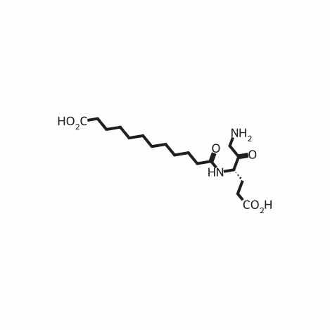 NCC(=O)[C@H](CCC(=O)O)NC(=O)CCCCCCCCCCC(=O)O